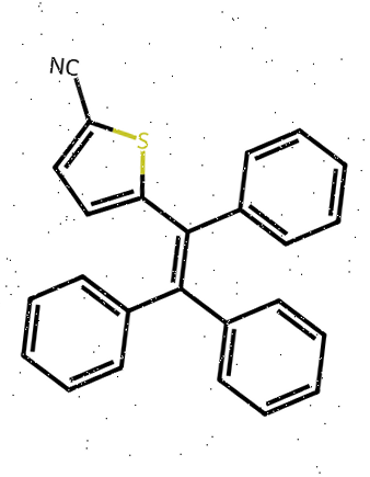 N#Cc1ccc(C(=C(c2ccccc2)c2ccccc2)c2ccccc2)s1